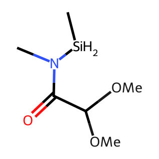 COC(OC)C(=O)N(C)[SiH2]C